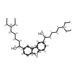 CCN(CC)CCCCC(O)c1ccc2oc3ccc(C(O)CCCCN(CC)CC)cc3c2c1